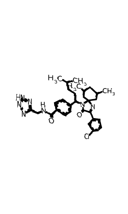 CC(C)CCC(c1ccc(C(=O)NCc2nn[nH]n2)cc1)N1C(=O)C(c2cccc(Cl)c2)=NC12CC(C)CC(C)C2